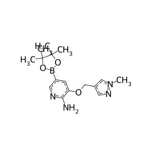 Cn1cc(COc2cc(B3OC(C)(C)C(C)(C)O3)cnc2N)cn1